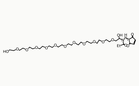 CCC(=O)N(NN1C(=O)C=CC1=O)C(O)COCCOCCOCCOCCOCCOCCOCCOCCOCCOCCOCCO